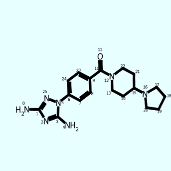 Nc1nc(N)n(-c2ccc(C(=O)N3CCC(N4CCCC4)CC3)cc2)n1